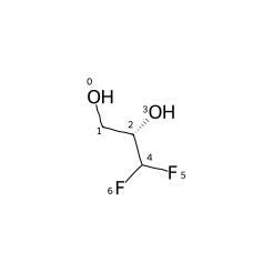 OC[C@H](O)C(F)F